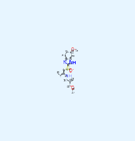 C/C=C(\C[S+]([O-])c1nc2c([nH]1)=CC(OC)CC=2)NC/C(C)=C/OC